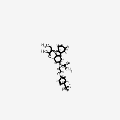 CCC(C(=O)O)n1c2c(c3cc(F)ccc31)CC(N(CCOc1ccc(C(F)(F)F)cc1)C(C)=O)CC2